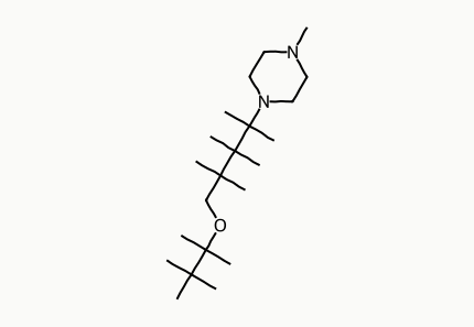 CN1CCN(C(C)(C)C(C)(C)C(C)(C)COC(C)(C)C(C)(C)C)CC1